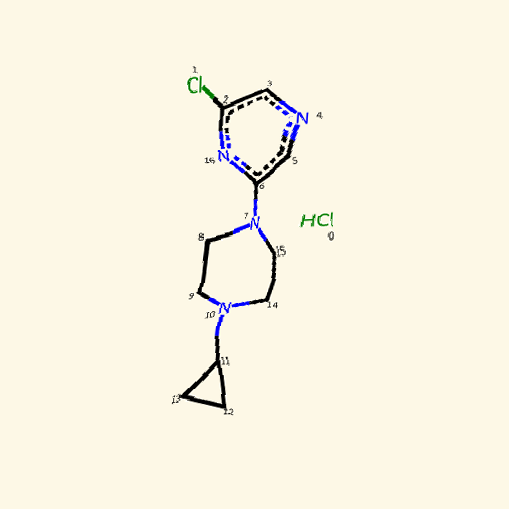 Cl.Clc1cncc(N2CCN(C3CC3)CC2)n1